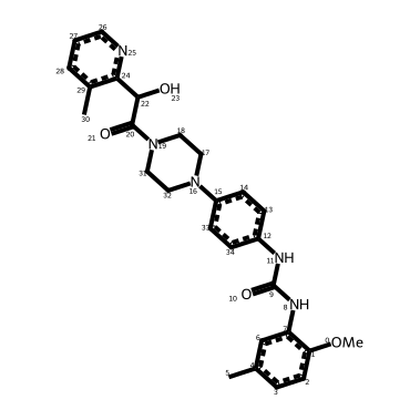 COc1ccc(C)cc1NC(=O)Nc1ccc(N2CCN(C(=O)C(O)c3ncccc3C)CC2)cc1